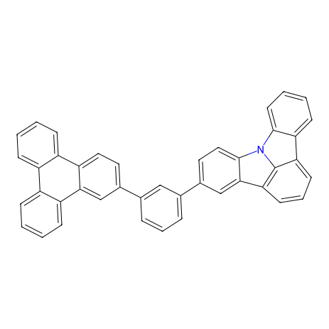 c1cc(-c2ccc3c4ccccc4c4ccccc4c3c2)cc(-c2ccc3c(c2)c2cccc4c5ccccc5n3c42)c1